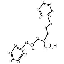 O=C(O)[C@H](CCCc1ccccc1)COCc1ccccc1